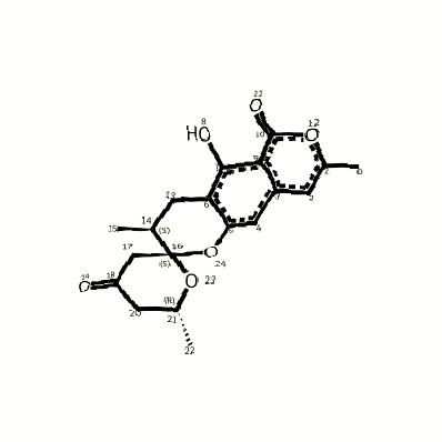 Cc1cc2cc3c(c(O)c2c(=O)o1)C[C@H](C)[C@]1(CC(=O)C[C@@H](C)O1)O3